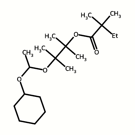 CCC(C)(C)C(=O)OC(C)(C)C(C)(C)OC(C)OC1CCCCC1